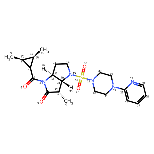 C[C@@H]1C(=O)N(C(=O)C2[C@@H](C)[C@H]2C)[C@H]2CCN(S(=O)(=O)N3CCN(c4ccccn4)CC3)[C@H]12